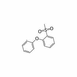 CS(=O)(=O)c1ccccc1Oc1[c]cccc1